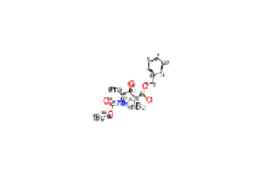 CCCC[C@H](C(=O)OCc1ccccc1)C(=O)C(NC(=O)OC(C)(C)C)C(C)C